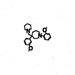 COc1cccc(C2(CN3CCCCC3)CCCN(c3ccccc3OC)CC2)c1